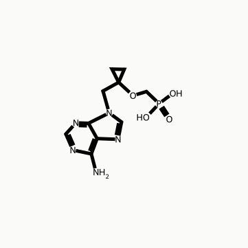 Nc1ncnc2c1ncn2CC1(OCP(=O)(O)O)CC1